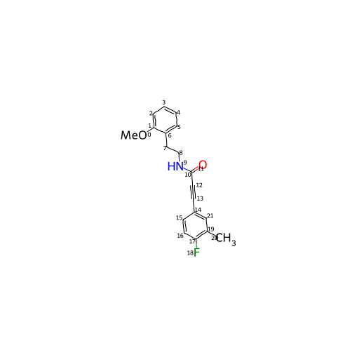 COc1ccccc1CCNC(=O)C#Cc1ccc(F)c(C)c1